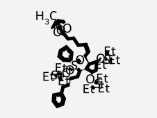 CC[Si](CC)(CC)O[C@@H](CCc1ccccc1)CC([C@@H]1[C@@H](C/C=C\CCCC23OCC(C)(CO2)CO3)[C@@H](O[Si](CC)(CC)CC)C[C@H]1O[Si](CC)(CC)CC)S(=O)(=O)c1ccccc1